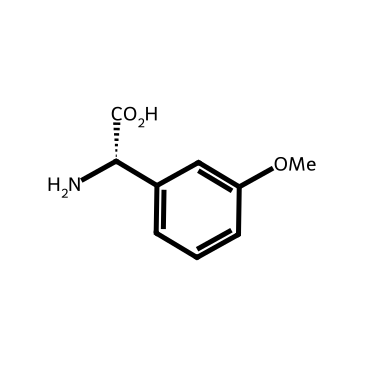 COc1cccc([C@H](N)C(=O)O)c1